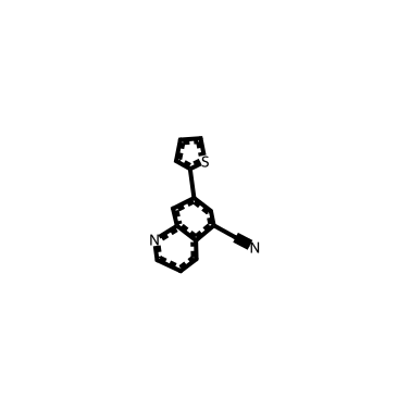 N#Cc1cc(-c2cccs2)cc2ncccc12